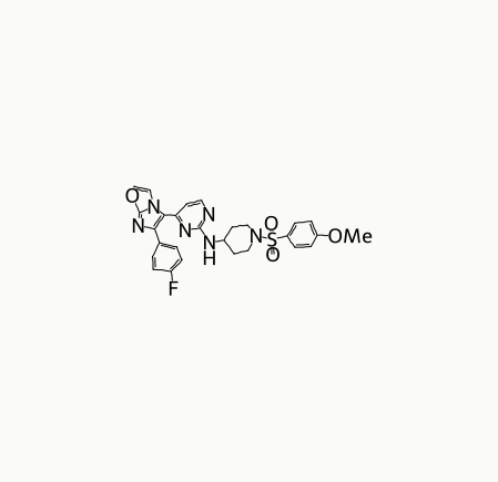 COc1ccc(S(=O)(=O)N2CCC(Nc3nccc(-c4c(-c5ccc(F)cc5)nc5occn45)n3)CC2)cc1